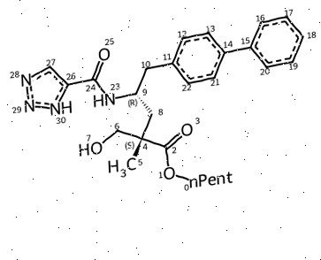 CCCCCOC(=O)[C@](C)(CO)C[C@@H](Cc1ccc(-c2ccccc2)cc1)NC(=O)c1cnn[nH]1